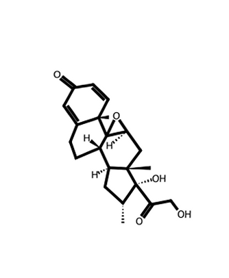 C[C@@H]1C[C@H]2[C@@H]3CCC4=CC(=O)C=C[C@]4(C)C34O[C@H]4C[C@]2(C)[C@@]1(O)C(=O)CO